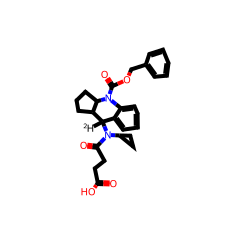 [2H]C1(N(C(=O)CCC(=O)O)C2CC2)c2ccccc2N(C(=O)OCc2ccccc2)C2CCCC21